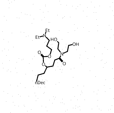 CCCCCCCCCCCCC(CCC(=O)N(CCO)CCO)OC(=O)OCCCN(CC)CC